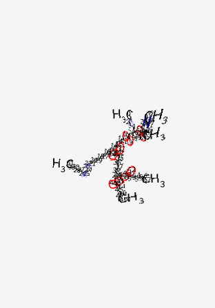 CC/C=C\CC1C(CC(=O)OCCC(CCCCCCCC/C=C\C/C=C\CCCCC)OC(=O)CCCCC(COC(=O)CCCCC)COC(=O)CCCCC)CCC1OC(=O)C1(C)CCN(C)CC1